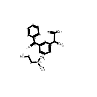 CC(C(=O)O)c1cccc(C(=O)c2ccccc2)c1.CN(C)CCO